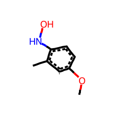 COc1[c]c(C)c(NO)cc1